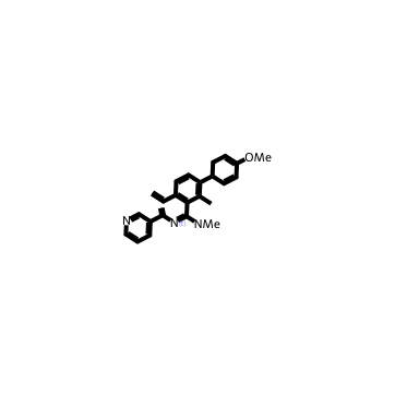 C=Cc1ccc(C2C=CC(OC)=CC2)c(C)c1/C(=N\C(=C)c1cccnc1)NC